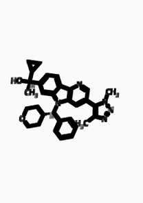 Cc1nnn(C)c1-c1cnc2c3ccc([C@](C)(O)C4CC4)cc3n([C@H](c3ccccc3)C3CCOCC3)c2c1